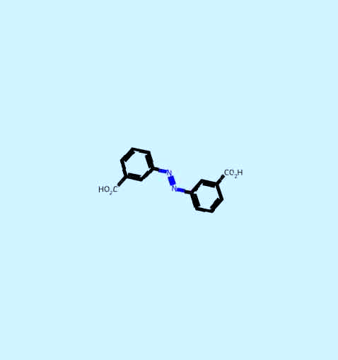 O=C(O)c1cccc(N=Nc2cccc(C(=O)O)c2)c1